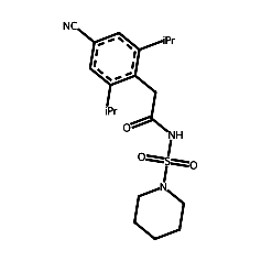 CC(C)c1cc(C#N)cc(C(C)C)c1CC(=O)NS(=O)(=O)N1CCCCC1